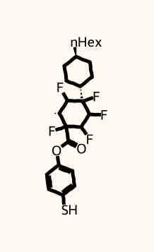 CCCCCC[C@H]1CC[C@H](C2(F)C(F)[CH]C(F)(C(=O)Oc3ccc(S)cc3)C(F)C2F)CC1